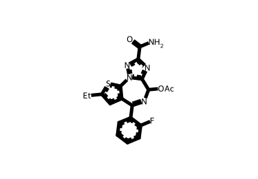 CCc1cc2c(s1)-n1nc(C(N)=O)nc1C(OC(C)=O)N=C2c1ccccc1F